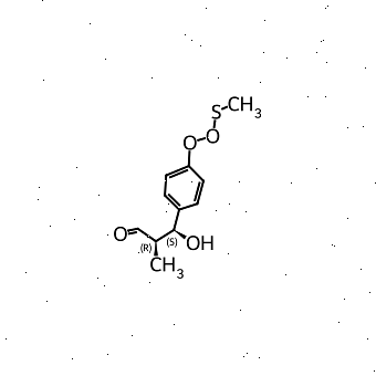 CSOOc1ccc([C@@H](O)[C@@H](C)C=O)cc1